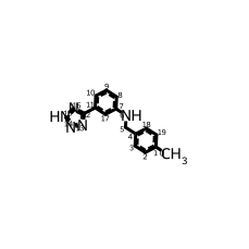 Cc1ccc(CNc2cccc(-c3nn[nH]n3)c2)cc1